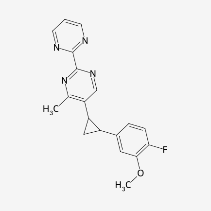 COc1cc(C2CC2c2cnc(-c3ncccn3)nc2C)ccc1F